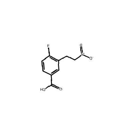 O=C(O)c1ccc(F)c(CC[N+](=O)[O-])c1